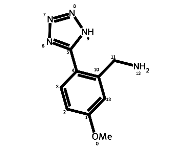 COc1ccc(-c2nnn[nH]2)c(CN)c1